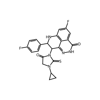 O=C1CN(C2CC2)C(=S)N1C1c2n[nH]c(=O)c3cc(F)cc(c23)NC1c1ccc(F)cc1